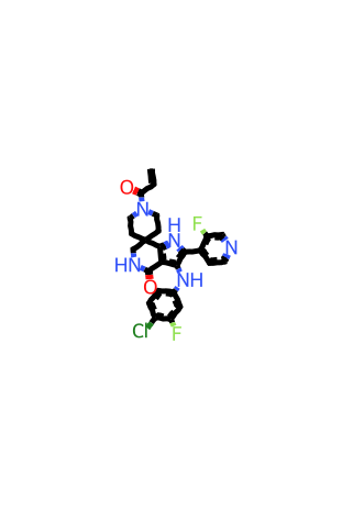 C=CC(=O)N1CCC2(CC1)CNC(=O)c1c2[nH]c(-c2ccncc2F)c1Nc1ccc(Cl)c(F)c1